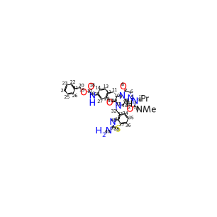 CNC(=O)N(C(C)C)N1CC(=O)N2[C@@H](Cc3ccc(NC(=O)OCc4ccccc4)cc3)C(=O)N(Cc3cccc4sc(N)nc34)C[C@@H]21